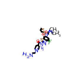 CN(C)CCN(c1cc(F)c2nc(NC(=O)C3CCN(CCN)CC3)sc2c1)S(=O)(=O)c1cccs1